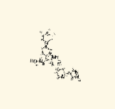 C[C@@H]1CN(c2ccc3c(c2)[nH]/c(=N\C(=O)c2ccnc(-c4cnn(C)c4)c2)n3CC(C)(C)O)C[C@H](C)N1C